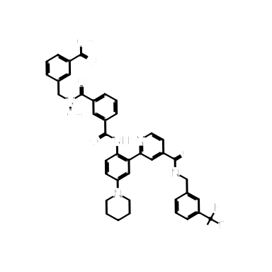 CN(Cc1cccc(C(=O)O)c1)C(=O)c1cccc(C(=O)Nc2ccc(N3CCCCC3)cc2-c2cc(C(=O)NCc3cccc(C(F)(F)F)c3)ccn2)c1